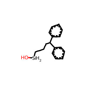 O[SiH2]CCCC(c1ccccc1)c1ccccc1